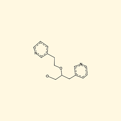 [O]CC(Cc1cccnc1)OCCc1cccnc1